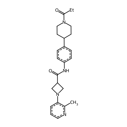 CCC(=O)N1CCC(c2ccc(NC(=O)C3CN(c4cccnc4C)C3)cc2)CC1